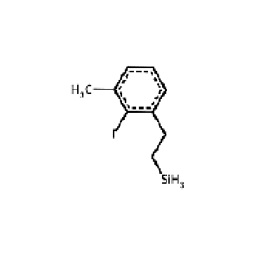 Cc1cccc(CC[SiH3])c1I